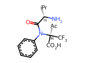 CC(=O)[C@](C(=O)O)(N(C(=O)[C@@H](N)C(C)C)c1ccccc1)C(F)(F)F